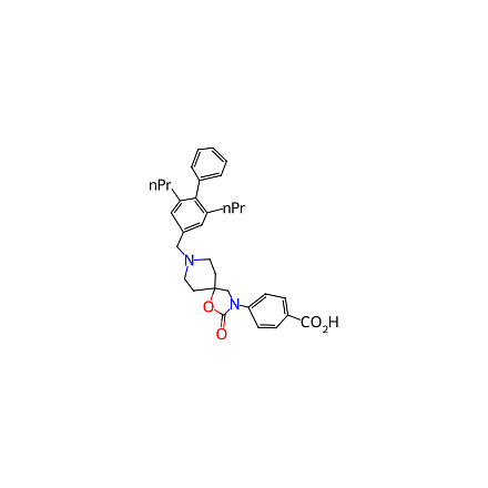 CCCc1cc(CN2CCC3(CC2)CN(c2ccc(C(=O)O)cc2)C(=O)O3)cc(CCC)c1-c1ccccc1